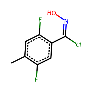 Cc1cc(F)c(/C(Cl)=N\O)cc1F